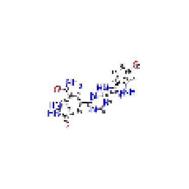 NC(=O)c1cc(-c2ncnc(Nc3n[nH]c4c3CCC(=O)C4)n2)cc2c(=O)[nH][nH]c12